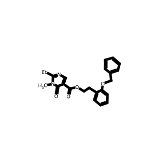 CCc1ncc(C(=O)OCCc2ccccc2OCc2ccccc2)c(=O)n1C